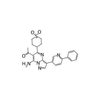 CC(=O)c1c(C2CCS(=O)(=O)CC2)nc2c(-c3ccc(-c4ccccc4)nc3)cnn2c1N